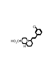 O=C(O)N1CCN2C(/C=C/c3cccc(Cl)c3)CCC[C@H]2C1